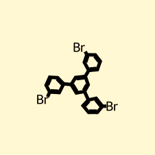 Brc1cccc(-c2cc(-c3cccc(Br)c3)cc(-c3cccc(Br)c3)c2)c1